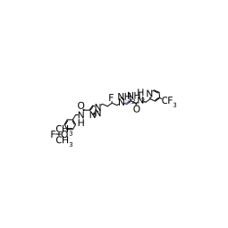 CC(C)(F)Oc1ccc(CNC(=O)c2cn(CCC(F)CN(N)/C=C(\N)C(=O)NCc3cc(C(F)(F)F)ccn3)nn2)cc1